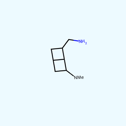 CNC1CC2CC(CN)C21